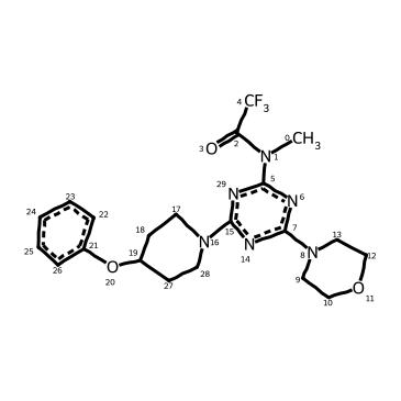 CN(C(=O)C(F)(F)F)c1nc(N2CCOCC2)nc(N2CCC(Oc3ccccc3)CC2)n1